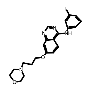 Ic1cccc(Nc2ncnc3cc(OCCCN4CCOCC4)[c]cc23)c1